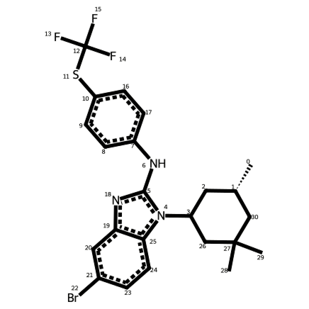 C[C@H]1CC(n2c(Nc3ccc(SC(F)(F)F)cc3)nc3cc(Br)ccc32)CC(C)(C)C1